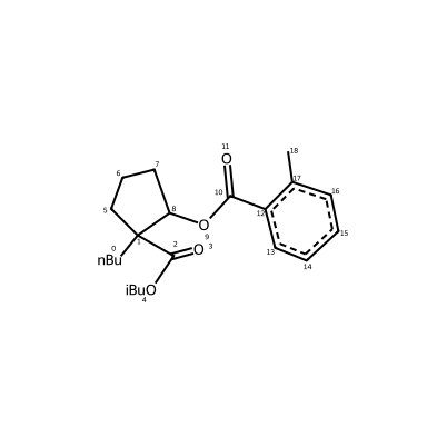 CCCCC1(C(=O)OCC(C)C)CCCC1OC(=O)c1ccccc1C